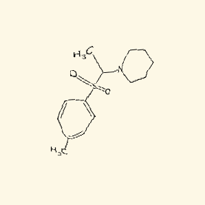 Cc1ccc(S(=O)(=O)C(C)N2CCCCC2)cc1